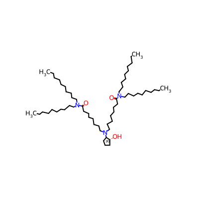 CCCCCCCCCCN(CCCCCCCCCC)C(=O)CCCCCCCN(CCCCCCCC(=O)N(CCCCCCCCCC)CCCCCCCCCC)C1CCC[C@H]1O